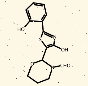 O=CN1CCCOC1c1sc(-c2ccccc2O)nc1O